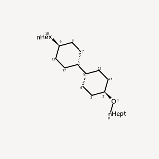 CCCCCCCO[C@H]1CC[C@H]([C@H]2CC[C@H](CCCCCC)CC2)CC1